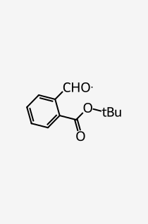 CC(C)(C)OC(=O)c1ccccc1[C]=O